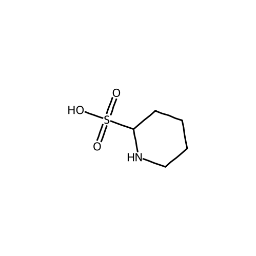 O=S(=O)(O)C1CCCCN1